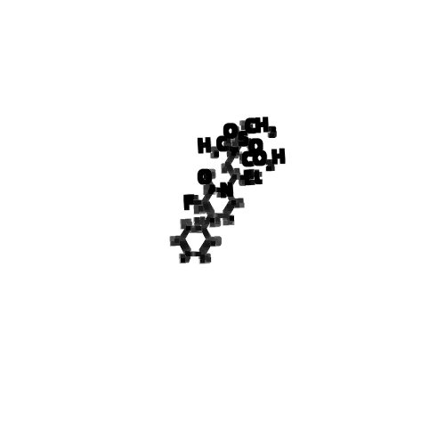 CCC(C[C@](C)(C(=O)O)S(C)(=O)=O)n1ccc(-c2ccccc2)c(F)c1=O